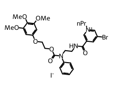 CCC[n+]1cc(Br)cc(C(=O)NCCN(C(=O)OCCOc2cc(OC)c(OC)c(OC)c2)c2ccccc2)c1.[I-]